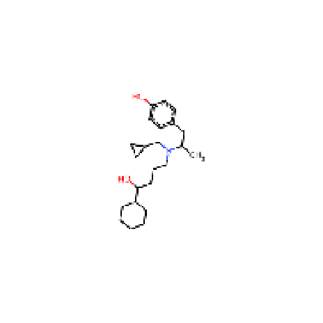 CC(Cc1ccc(O)cc1)N(CCCC(O)C1CCCCC1)CC1CC1